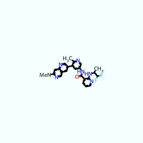 CNc1cc2ncc(-c3cc(NC(=O)c4cccnc4NC(C)C(F)F)cnc3C)cc2cn1